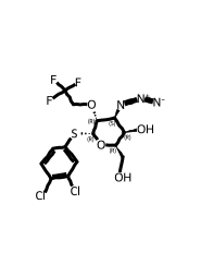 [N-]=[N+]=N[C@H]1[C@@H](O)[C@@H](CO)O[C@H](Sc2ccc(Cl)c(Cl)c2)[C@@H]1OCC(F)(F)F